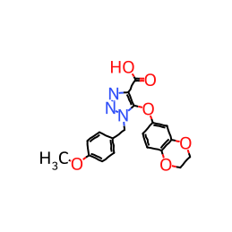 COc1ccc(Cn2nnc(C(=O)O)c2Oc2ccc3c(c2)OCCO3)cc1